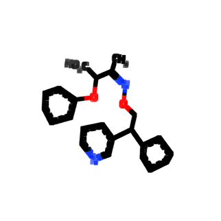 CC(=NOCC(c1ccccc1)c1cccnc1)C(Oc1ccccc1)C(=O)O